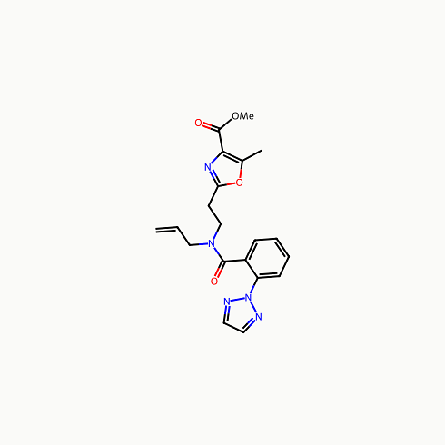 C=CCN(CCc1nc(C(=O)OC)c(C)o1)C(=O)c1ccccc1-n1nccn1